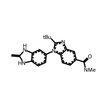 C=C1Nc2ccc(-n3c(C(C)(C)C)nc4cc(C(=O)NC)ccc43)cc2N1